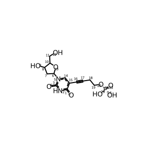 O=c1[nH]c(=O)n(C2CC(O)C(CO)O2)cc1C#CCCOP(=O)(O)O